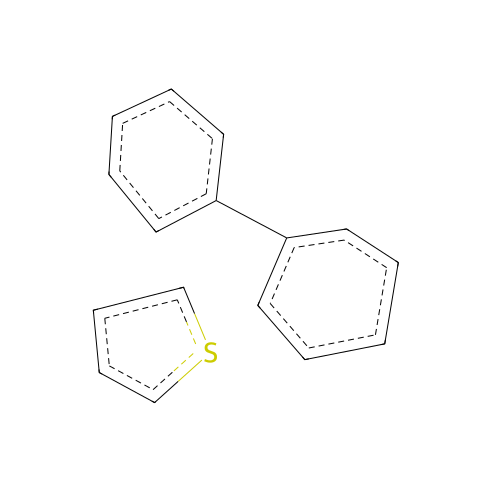 c1ccc(-c2ccccc2)cc1.c1ccsc1